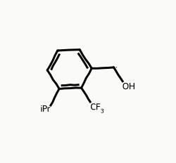 CC(C)c1cccc([CH]O)c1C(F)(F)F